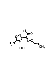 C=CCO/N=C(\C(=O)Cl)c1nsc(N)n1.Cl